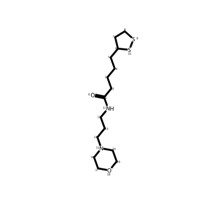 O=C(CCCCC1CCSS1)NCCCN1CCOCC1